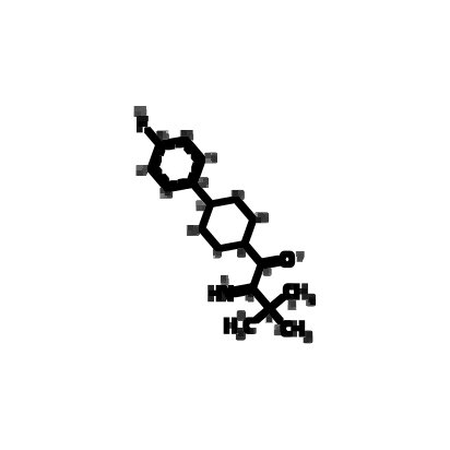 CC(C)(C)C(=N)C(=O)C1CCC(c2ccc(F)cc2)CC1